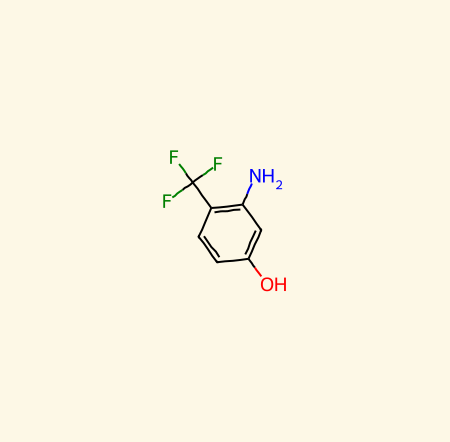 Nc1cc(O)ccc1C(F)(F)F